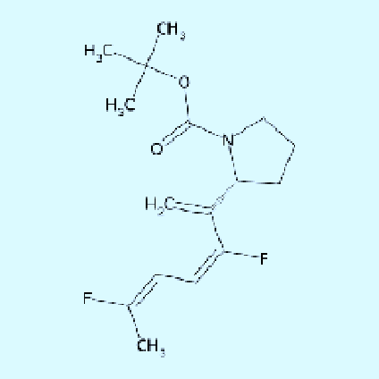 C=C(/C(F)=C\C=C(/C)F)[C@H]1CCCN1C(=O)OC(C)(C)C